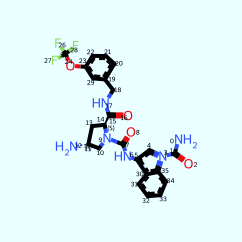 NC(=O)n1cc(NC(=O)N2C[C@H](N)C[C@H]2C(=O)NCc2cccc(OC(F)(F)F)c2)c2ccccc21